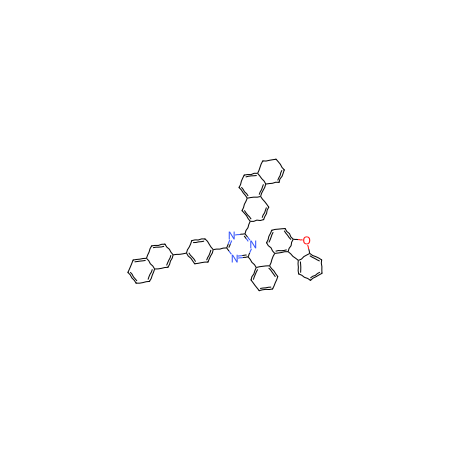 C1=Cc2c(ccc3cc(-c4nc(-c5ccc(-c6ccc7ccccc7c6)cc5)nc(-c5ccccc5-c5cccc6oc7ccccc7c56)n4)ccc23)CC1